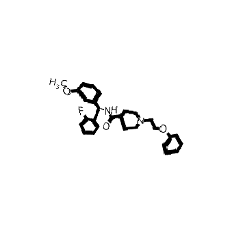 COc1cccc([C@H](NC(=O)C2CCN(CCOc3ccccc3)CC2)c2ccccc2F)c1